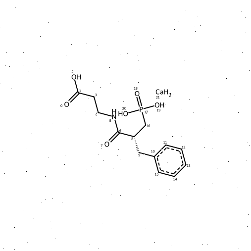 O=C(O)CCNC(=O)[C@@H](Cc1ccccc1)CP(=O)(O)O.[CaH2]